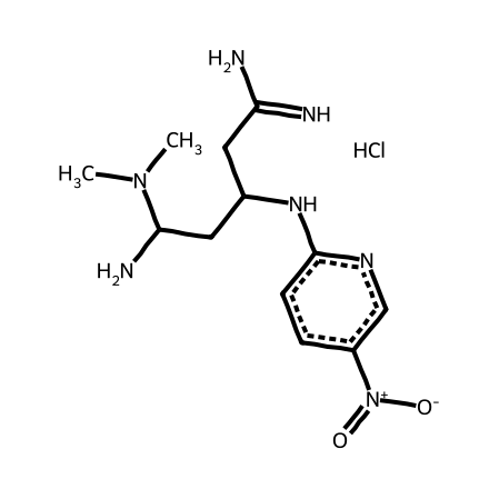 CN(C)C(N)CC(CC(=N)N)Nc1ccc([N+](=O)[O-])cn1.Cl